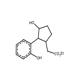 CCOC(=O)CC1CCC(O)C1c1ccccc1O